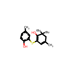 CC1=CC(Sc2cc(C)ccc2O)=C(O)C(C(C)(C)C)(C(C)(C)C)C1